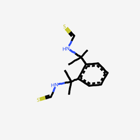 CC(C)(NC=S)c1ccccc1C(C)(C)NC=S